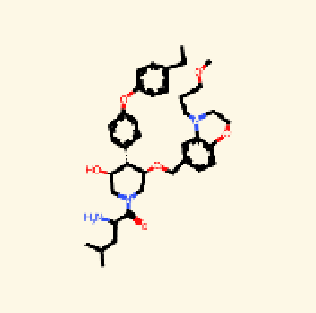 CCc1ccc(Oc2ccc([C@H]3[C@H](O)CN(C(=O)C(N)CC(C)C)C[C@@H]3OCc3ccc4c(c3)N(CCCOC)CCO4)cc2)cc1